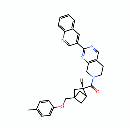 O=C([C@H]1CC2(COc3ccc(I)cc3)CC1C2)N1CCc2cnc(-c3cnc4ccccc4c3)nc2C1